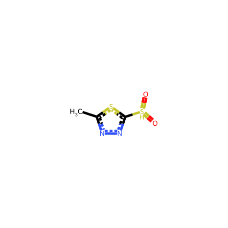 Cc1nnc([SH](=O)=O)s1